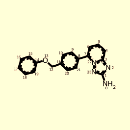 Nc1nc2cccc(-c3ccc(COc4ccccc4)cc3)n2n1